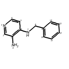 Nc1cnccc1NCc1ccccc1